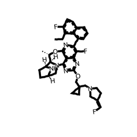 CCc1c(F)ccc2cccc(-c3nc4c5c(nc(OCC6(CN7CC/C(=C/F)C7)CC6)nc5c3F)N3C[C@H]5CC[C@H](N5)[C@H]3[C@H](C)O4)c12